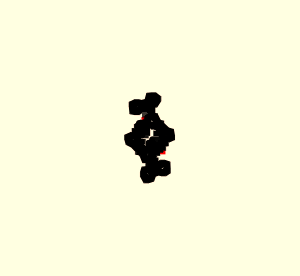 C[Si]1(C)c2cccc3c2sc2c(cc(-n4c5ccccc5c5ccccc54)cc23)[Si](C)(C)[Si](C)(C)c2cccc3c2sc2c(cc(-n4c5ccccc5c5ccccc54)cc23)[Si]1(C)C